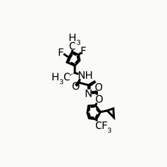 Cc1c(F)cc([C@@H](C)NC(=O)c2coc(Oc3cccc(C(F)(F)F)c3C3CC3)n2)cc1F